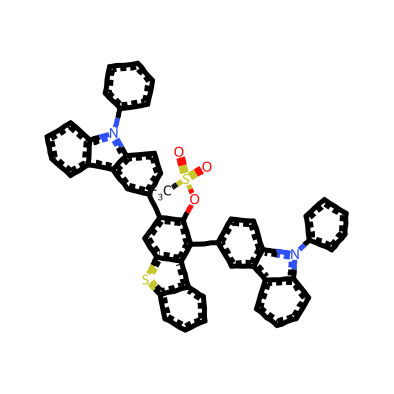 O=S(=O)(Oc1c(-c2ccc3c(c2)c2ccccc2n3-c2ccccc2)cc2sc3ccccc3c2c1-c1ccc2c(c1)c1ccccc1n2-c1ccccc1)C(F)(F)F